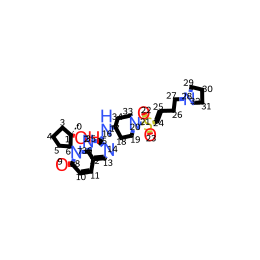 C[C@@]1(O)CCC[C@H]1n1c(=O)ccc2cnc(NC3CCN(S(=O)(=O)/C=C/CCN4CCCC4)CC3)nc21